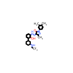 CC1=NN(c2ccc(C)c(C)c2)C(=O)C1=NNc1cccc(C2CCCC(NCC(F)(F)F)C2)c1O